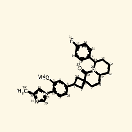 COc1cc(C2CC3(CCC4CCCC(c5ccc(F)cc5)N4C3=O)C2)ccc1-n1cnc(C)c1